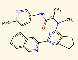 COc1ccc(NC(=O)[C@@H](C)N(C)c2nc(-c3cc4ccccc4cn3)nc3c2CCC3)cn1